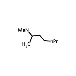 CCCCCC(C)NC